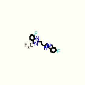 Fc1ccc2c(c1)Cn1cc(CCc3nc(C(F)(F)F)c4cccc(F)c4n3)nc1-2